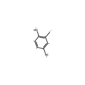 [C-]#[N+]c1ccc(O)c(I)c1